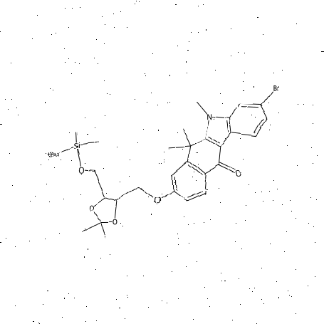 Cn1c2c(c3ccc(Br)cc31)C(=O)c1ccc(OCC3OC(C)(C)OC3CO[Si](C)(C)C(C)(C)C)cc1C2(C)C